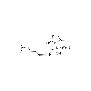 CCCCCC(O)(CN=C=NCCCN(C)C)N1C(=O)CCC1=O